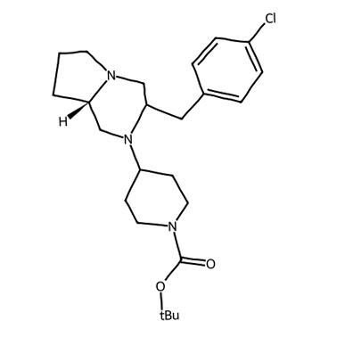 CC(C)(C)OC(=O)N1CCC(N2C[C@@H]3CCCN3CC2Cc2ccc(Cl)cc2)CC1